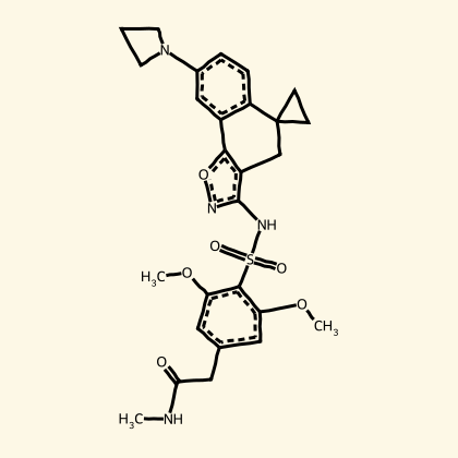 CNC(=O)Cc1cc(OC)c(S(=O)(=O)Nc2noc3c2CC2(CC2)c2ccc(N4CCC4)cc2-3)c(OC)c1